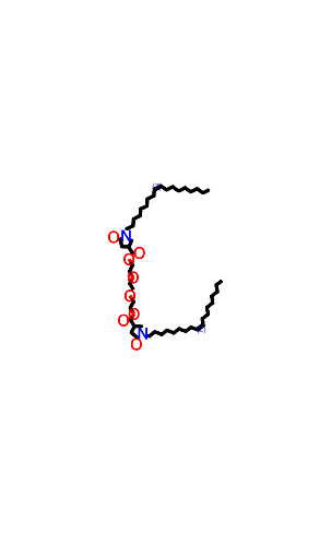 CCCCCCCC/C=C\CCCCCCCCN1CC(C(=O)OCCOCCOCCOC(=O)C2CC(=O)N(CCCCCCCC/C=C\CCCCCCCC)C2)CC1=O